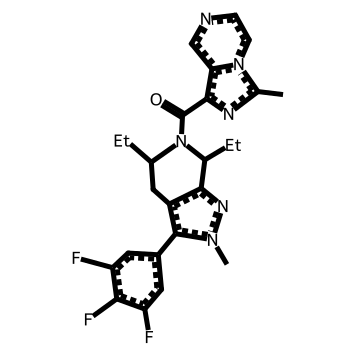 CCC1Cc2c(nn(C)c2-c2cc(F)c(F)c(F)c2)C(CC)N1C(=O)c1nc(C)n2ccncc12